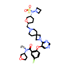 CC(C)N(C(=O)c1cc(F)ccc1Oc1cncnc1N1CC2(CCN(C[C@@H]3CC[C@@H](N(N4CCC4)[SH](=O)=O)CO3)CC2)C1)[C@H]1CCOC1